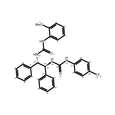 COc1ccccc1NC(=O)N[C@@H](c1ccccc1)[C@@H](NC(=O)Nc1ccc(C(F)(F)F)cc1)c1ccccc1